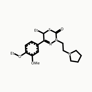 CCOc1ccc(C2=NN(CCN3CCCC3)C(=O)SC2CC)cc1OC